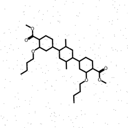 CCCCOC1CC(C2CC(C)C(C3CCC(C(=O)OC)C(OCCCC)C3)CC2C)CCC1C(=O)OC